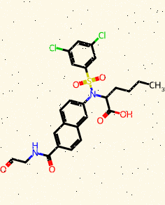 CCCCC(C(=O)O)N(c1ccc2cc(C(=O)NCC=O)ccc2c1)S(=O)(=O)c1cc(Cl)cc(Cl)c1